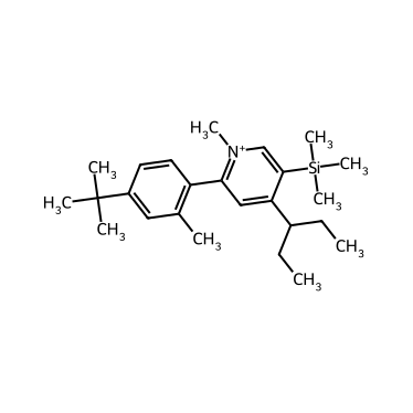 CCC(CC)c1cc(-c2ccc(C(C)(C)C)cc2C)[n+](C)cc1[Si](C)(C)C